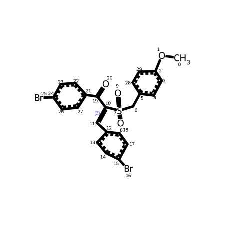 COc1ccc(CS(=O)(=O)/C(=C\c2ccc(Br)cc2)C(=O)c2ccc(Br)cc2)cc1